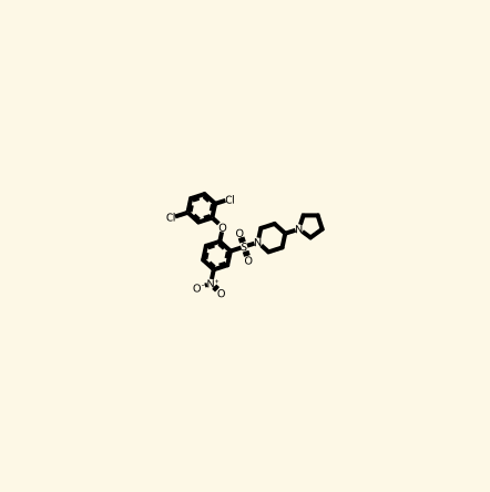 O=[N+]([O-])c1ccc(Oc2cc(Cl)ccc2Cl)c(S(=O)(=O)N2CCC(N3CCCC3)CC2)c1